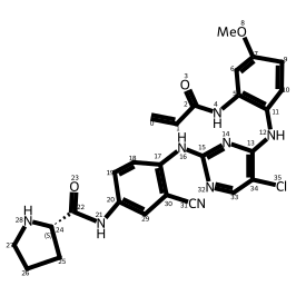 C=CC(=O)Nc1cc(OC)ccc1Nc1nc(Nc2ccc(NC(=O)[C@@H]3CCCN3)cc2C#N)ncc1Cl